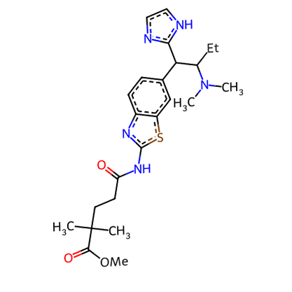 CCC(C(c1ccc2nc(NC(=O)CCC(C)(C)C(=O)OC)sc2c1)c1ncc[nH]1)N(C)C